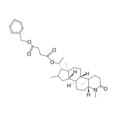 CC1C[C@H]2[C@@H]3CC[C@H]4N(C)C(=O)CC[C@]4(C)[C@H]3CC[C@]2(C)[C@H]1C(C)OC(=O)CCC(=O)OCc1ccccc1